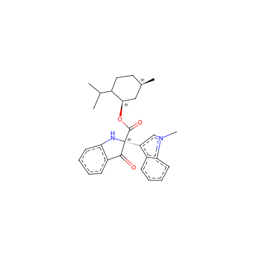 CC(C)C1CC[C@@H](C)C[C@H]1OC(=O)[C@]1(c2cn(C)c3ccccc23)Nc2ccccc2C1=O